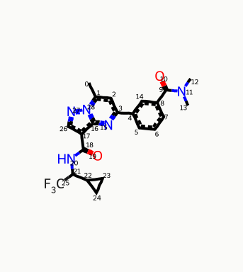 Cc1cc(-c2cccc(C(=O)N(C)C)c2)nc2c(C(=O)NC(C3CC3)C(F)(F)F)cnn12